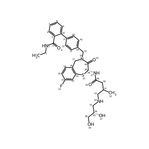 CCNC(=O)c1ccccc1-c1ccc(CN2Cc3ccc(F)cc3S[C@@H](NC(=O)CC(C)CNC[C@H](O)CO)C2=O)cc1